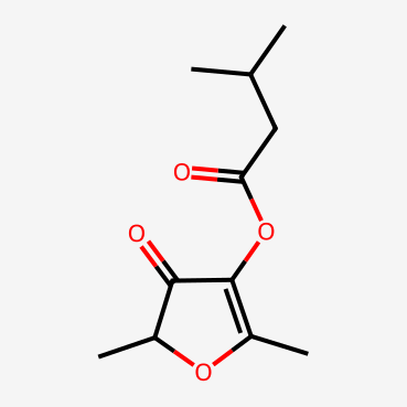 CC1=C(OC(=O)CC(C)C)C(=O)C(C)O1